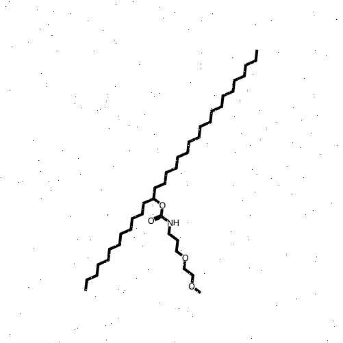 CCCCCCCCCCCCCCCCCCCC(CCCCCCCCCCCC)OC(=O)NCCCOCCOC